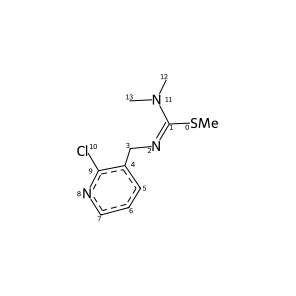 CSC(=NCc1cccnc1Cl)N(C)C